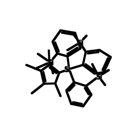 CC1=C(C)C(C)C([Si](c2ccccc2[Si](C)(C)C)(c2ccccc2[Si](C)(C)C)c2ccccc2[Si](C)(C)C)=C1C